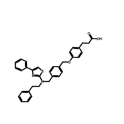 O=C(O)CCc1ccc(OCc2ccc(CN(CCc3ccccc3)c3nc(-c4ccccc4)cs3)cc2)cc1